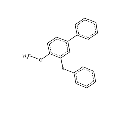 COc1ccc(-c2ccccc2)cc1Sc1ccccc1